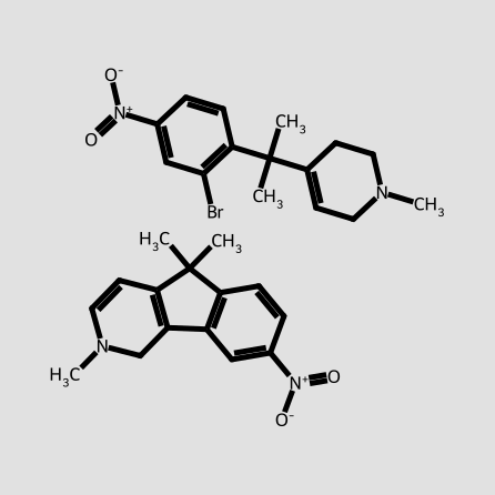 CN1C=CC2=C(C1)c1cc([N+](=O)[O-])ccc1C2(C)C.CN1CC=C(C(C)(C)c2ccc([N+](=O)[O-])cc2Br)CC1